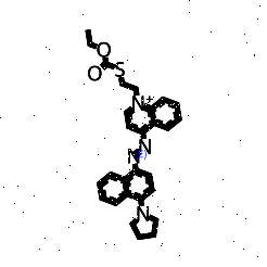 CCOC(=O)SCC[n+]1ccc(/N=N/c2ccc(N3CCCC3)c3ccccc23)c2ccccc21